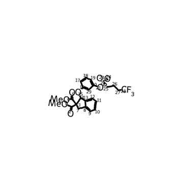 COC(=O)C1(C(=O)OC)Cc2ccccc2C1Oc1cccc(OS(=O)(=O)CCCC(F)(F)F)c1